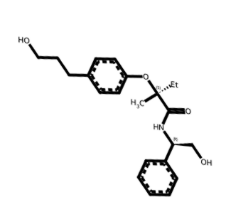 CC[C@](C)(Oc1ccc(CCCO)cc1)C(=O)N[C@@H](CO)c1ccccc1